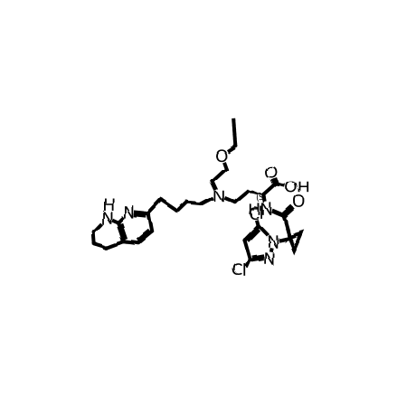 CCOCCN(CCCCc1ccc2c(n1)NCCC2)CC[C@H](NC(=O)C1(n2nc(Cl)cc2Cl)CC1)C(=O)O